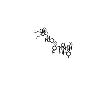 CCCCOP(=O)(OCCCC)OCCn1ncc2cc(Oc3ccc(F)cc3CNC(=O)Nc3cc(C(C)(C)C)nn3-c3ccc(C)cc3)ccc21